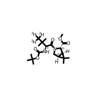 [2H]C([2H])([2H])C(C)(C)[C@H](NC(=O)OC(C)(C)C)C(=O)N1C[C@H]2[C@@H]([C@H]1C(=O)OC)C2(C)C